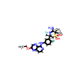 CCOc1cnc2c(Nc3ccc(F)c([C@@]4(CF)CS(O)(O)C(C)(C)C(N)=N4)c3)nccc2n1